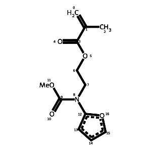 C=C(C)C(=O)OCCN(C(=O)OC)c1ccco1